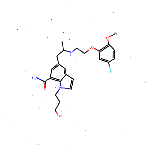 CCOc1ccc(F)cc1OCCN[C@H](C)Cc1cc(C(N)=O)c2c(ccn2CCCO)c1